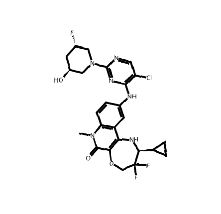 Cn1c(=O)c2c(c3cc(Nc4nc(N5C[C@@H](O)C[C@H](F)C5)ncc4Cl)ccc31)N[C@@H](C1CC1)C(F)(F)CO2